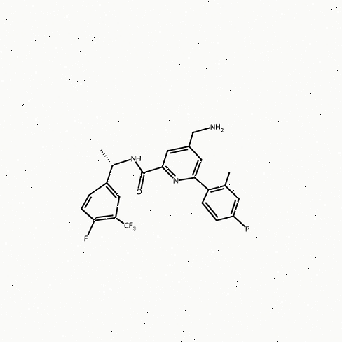 Cc1cc(F)ccc1-c1cc(CN)cc(C(=O)N[C@@H](C)c2ccc(F)c(C(F)(F)F)c2)n1